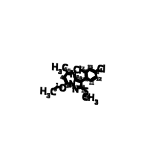 CCOc1cc(C)nc2c(-c3ccc(Cl)cc3Cl)c(SC)nn12